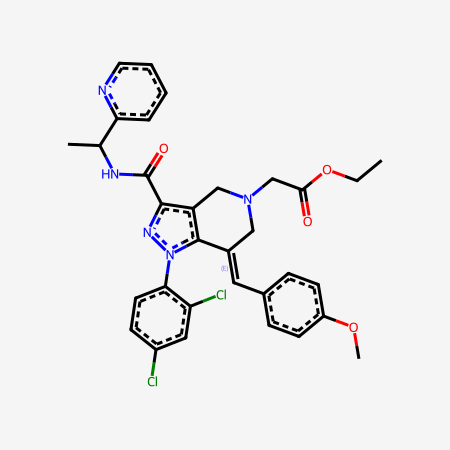 CCOC(=O)CN1C/C(=C\c2ccc(OC)cc2)c2c(c(C(=O)NC(C)c3ccccn3)nn2-c2ccc(Cl)cc2Cl)C1